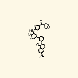 CN(C)c1ccc2c(c1)CCN(c1cccc(-c3cc(Nc4ccc(C(=O)N5CCOCC5)cn4)c(=O)n(C)c3)c1)C2=O